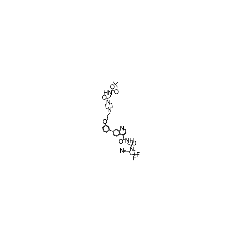 CC(C)(C)OC(=O)NCC(=O)N1CCN(CCCOc2cccc(-c3ccc4c(C(=O)NCC(=O)N5CC(F)(F)C[C@H]5C#N)ccnc4c3)c2)CC1